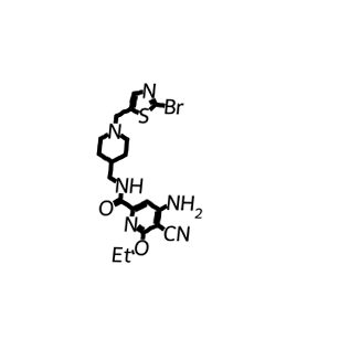 CCOc1nc(C(=O)NCC2CCN(Cc3cnc(Br)s3)CC2)cc(N)c1C#N